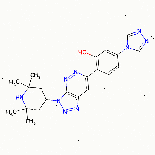 CC1(C)CC(n2nnc3cc(-c4ccc(-n5cnnc5)cc4O)nnc32)CC(C)(C)N1